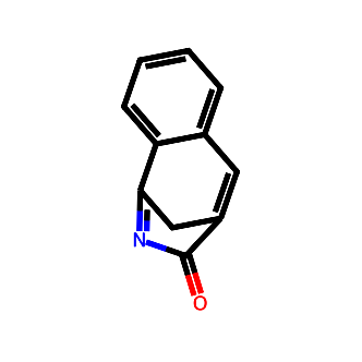 O=C1N=C2CC1=Cc1ccccc12